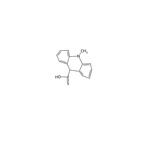 CN1c2ccccc2C(C(O)=S)c2ccccc21